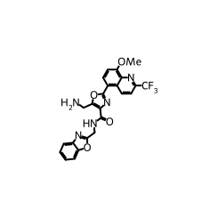 COc1ccc(-c2nc(C(=O)NCc3nc4ccccc4o3)c(CN)o2)c2ccc(C(F)(F)F)nc12